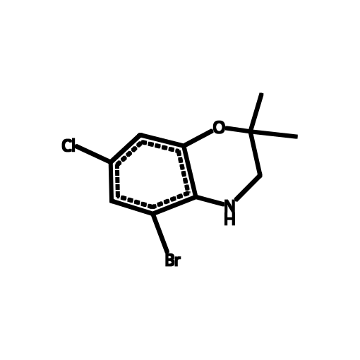 CC1(C)CNc2c(Br)cc(Cl)cc2O1